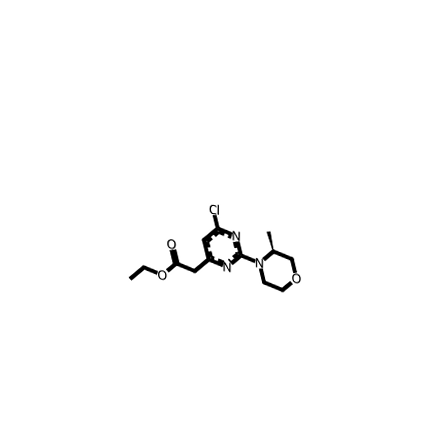 CCOC(=O)Cc1cc(Cl)nc(N2CCOC[C@@H]2C)n1